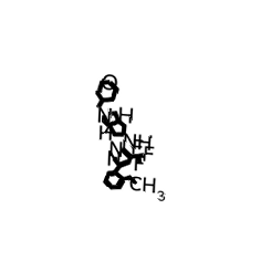 CCc1ccccc1-c1cc(C(F)(F)F)c(NC2C[C@@H]3CN(CC4CCOCC4)C[C@@H]3C2)nn1